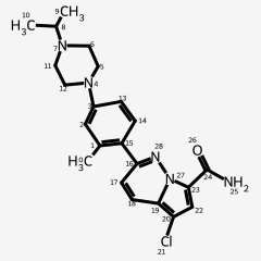 Cc1cc(N2CCN(C(C)C)CC2)ccc1-c1ccc2c(Cl)cc(C(N)=O)n2n1